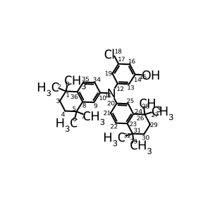 CC1(C)CCC(C)(C)c2cc(N(c3cc(O)cc(Cl)c3)c3ccc4c(c3)C(C)(C)CCC4(C)C)ccc21